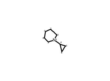 C1CCN(C2CC2)CC1